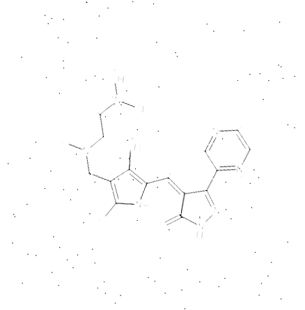 Cc1[nH]c(C=C2C(=O)NN=C2c2cnccn2)c(C)c1CN(C)CCN(C)C